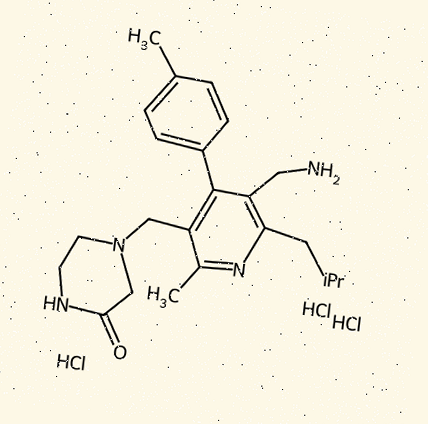 Cc1ccc(-c2c(CN3CCNC(=O)C3)c(C)nc(CC(C)C)c2CN)cc1.Cl.Cl.Cl